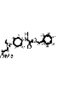 COCCN(C)[C@H]1CC[C@H](NC(=O)OCc2ccccc2)CC1